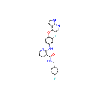 O=C(NCc1ccc(F)cc1)c1cccnc1Nc1ccc(Oc2ccnc3[nH]ccc23)c(F)c1